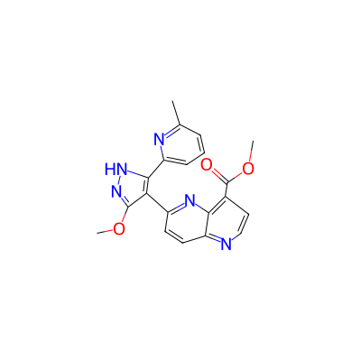 COC(=O)c1ccnc2ccc(-c3c(OC)n[nH]c3-c3cccc(C)n3)nc12